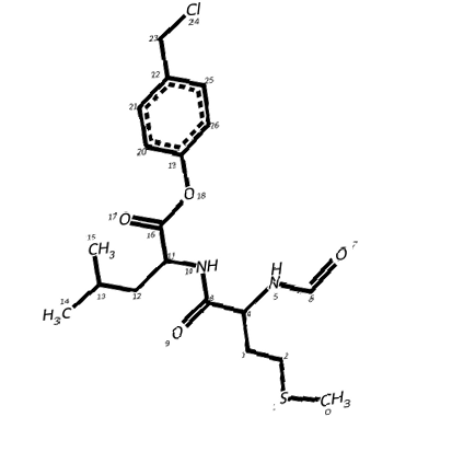 CSCCC(NC=O)C(=O)NC(CC(C)C)C(=O)Oc1ccc(CCl)cc1